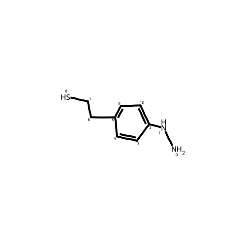 NNc1ccc(CCS)cc1